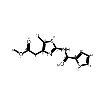 COC(=O)Cc1nc(NC(=O)c2cccs2)sc1C